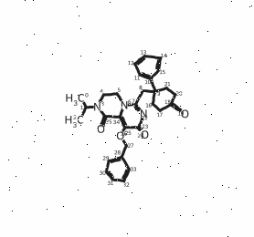 CC(C)N1CCn2c(CC3(c4ccccc4)CCC(=O)CC3)nc(=O)c(OCc3ccccc3)c2C1=O